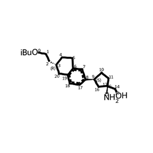 CC(C)COCC[C@@H]1CCc2cc([C@H]3CC[C@](N)(CO)C3)ccc2C1